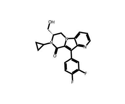 O=C1c2c(-c3ccc(F)c(F)c3)c3ncccc3n2C[C@@H](CO)N1C1CC1